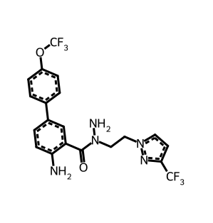 Nc1ccc(-c2ccc(OC(F)(F)F)cc2)cc1C(=O)N(N)CCn1ccc(C(F)(F)F)n1